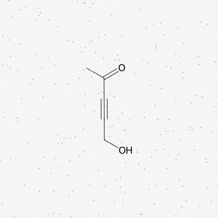 CC(=O)C#CCO